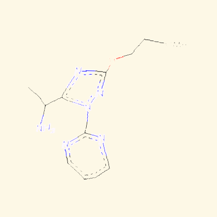 COCCOc1nc(C(C)N)n(-c2ncccn2)n1